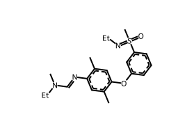 CCN=S(C)(=O)c1cccc(Oc2cc(C)c(N=CN(C)CC)cc2C)c1